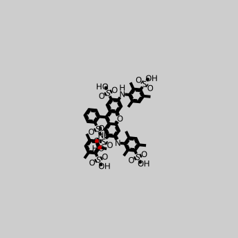 Cc1cc(C)c(S(=O)(=O)O)c(C)c1/N=c1\cc2oc3cc(Nc4c(C)cc(C)c(S(=O)(=O)O)c4C)c(S(=O)(=O)O)cc3c(-c3ccccc3S(=O)(=O)Nc3c(C)cc(C)c(S(=O)(=O)O)c3C)c-2cc1S(=O)(=O)O